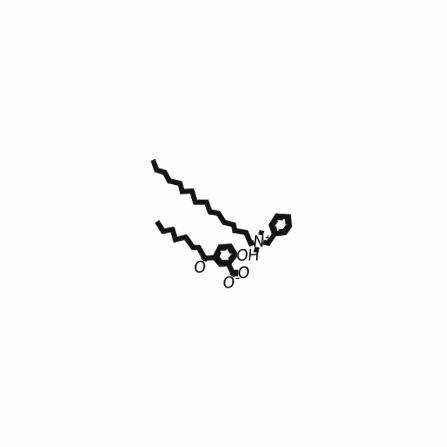 CCCCCCCC(=O)c1ccc(O)c(C(=O)[O-])c1.CCCCCCCCCCCCCCCC[N+](C)(C)Cc1ccccc1